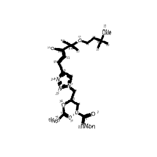 CCCCCCCCCC(=O)OCC(Cn1cc(CCC(=O)C(C)(C)OCCC(C)(C)OC)nn1)OC(=O)CCCCCCCCC